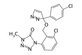 Cn1nnn(-c2cccc(Cl)c2COC2(c3ccc(Cl)cc3)C=CN=N2)c1=O